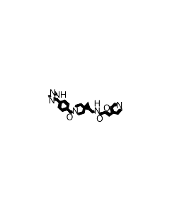 O=C(NCC1CC12CCN(C(=O)c1ccc(-c3ncn[nH]3)cc1)CC2)c1cc2ccncc2o1